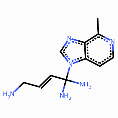 Cc1nccc2c1ncn2C(N)(N)/C=C/CN